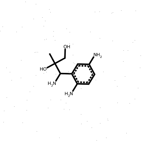 CC(O)(CO)C(N)c1cc(N)ccc1N